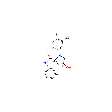 CCc1cc(N2C[C@@H](O)C[C@H]2C(=O)N(C)c2cccc(C)c2)ncc1C